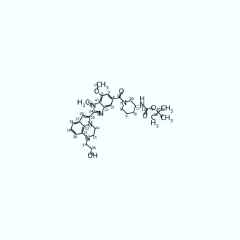 COc1cc(C(=O)N2CCC[C@@H](NC(=O)OC(C)(C)C)C2)cc2nc(-c3cc4cccc5c4n3CCN5CCO)n(C)c12